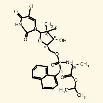 CC(C)OC(=O)[C@@H](C)NP(=O)(OC[C@H]1OC(n2cc(Cl)c(=O)[nH]c2=O)[C@](C)(F)[C@@H]1O)Oc1cccc2ccccc12